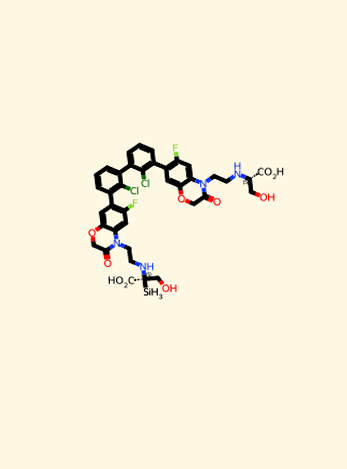 O=C(O)[C@H](CO)NCCN1C(=O)COc2cc(-c3cccc(-c4cccc(-c5cc6c(cc5F)N(CCN[C@]([SiH3])(CO)C(=O)O)C(=O)CO6)c4Cl)c3Cl)c(F)cc21